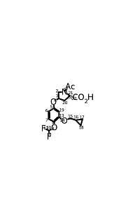 CC(=O)N1CC(Oc2ccc(OC(F)F)c(OCC3CC3)c2)C[C@H]1C(=O)O